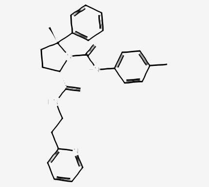 Cc1ccc(NC(=O)N2[C@H](C(=O)NCCc3ccccn3)CC[C@]2(C)c2ccccc2)cc1